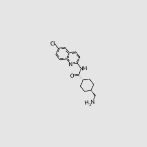 NC[C@H]1CC[C@H](C(=O)Nc2ccc3cc(Cl)ccc3n2)CC1